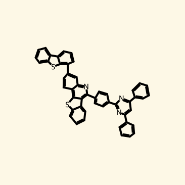 c1ccc(-c2cc(-c3ccccc3)nc(-c3ccc(-c4nc5cc(-c6cccc7c6sc6ccccc67)ccc5c5sc6ccccc6c45)cc3)n2)cc1